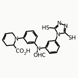 O=CN(c1cccc(N2CC=CCC2C(=O)O)c1)c1cccc(-n2c(S)nnc2S)c1